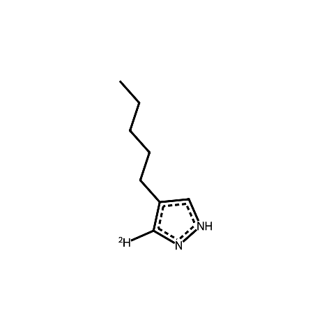 [2H]c1n[nH]cc1CCCCC